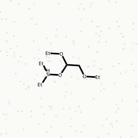 CCOCC(OCC)O[SiH](CC)CC